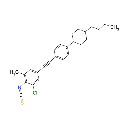 CCCCC1CCC(c2ccc(C#Cc3cc(C)c(N=C=S)c(Cl)c3)cc2)CC1